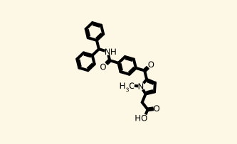 Cn1c(CC(=O)O)ccc1C(=O)c1ccc(C(=O)NC(c2ccccc2)c2ccccc2)cc1